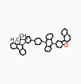 CC1(C)c2ccc(-c3ccc(-c4c5ccccc5c(-c5ccc6oc7ccc8ccccc8c7c6c5)c5ccccc45)cc3)cc2-c2c1c1ccccc1c1ccccc21